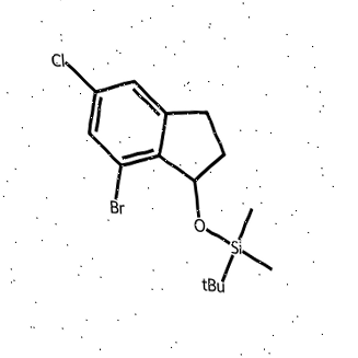 CC(C)(C)[Si](C)(C)OC1CCc2cc(Cl)cc(Br)c21